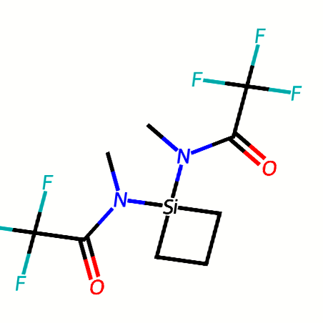 CN(C(=O)C(F)(F)F)[Si]1(N(C)C(=O)C(F)(F)F)CCC1